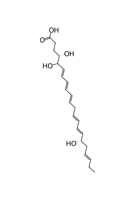 CCC=CC[C@H](O)C=CC=CCC=CC=CC=CC(O)[C@@H](O)CCC(=O)O